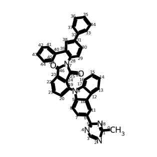 Cc1ncnc(-c2ccc3c(c2)c2ccccc2n3-c2cccc3c2C(=O)N(c2ccc(-c4ccccc4)cc2-c2ccccc2)C3=O)n1